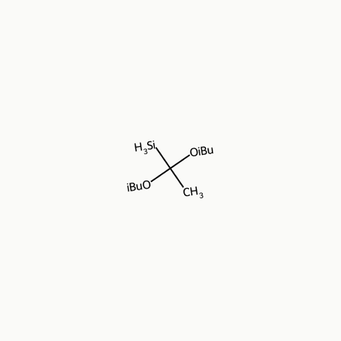 CC(C)COC(C)([SiH3])OCC(C)C